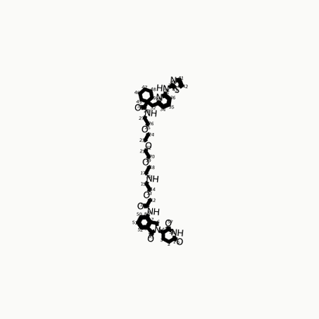 O=C1CCC(N2Cc3c(NC(=O)COCCNCCOCCOCCOCCNC(=O)C4(Cc5cccc(Nc6nccs6)n5)CCCCC4)cccc3C2=O)C(=O)N1